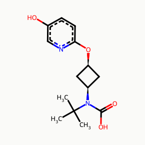 CC(C)(C)N(C(=O)O)[C@H]1C[C@@H](Oc2ccc(O)cn2)C1